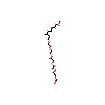 COCCCCCC(C)CCOCCOCCOCCOCCOCCOC=O